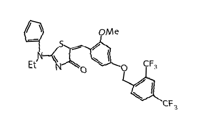 CCN(C1=NC(=O)C(=Cc2ccc(OCc3ccc(C(F)(F)F)cc3C(F)(F)F)cc2OC)S1)c1ccccc1